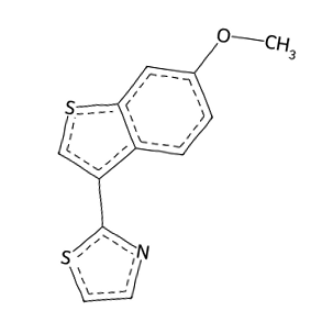 COc1ccc2c(-c3nccs3)csc2c1